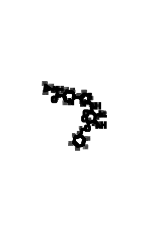 CC[C@@H](C(=N)C(=O)OCc1ccccc1)C(=O)Nc1nc(-c2ccc(C(=O)NC3CC3)cn2)cs1